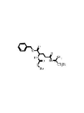 CCOC(=O)[C@H](C)NC(=O)CCC(NC(=O)OC(C)(C)C)C(=O)OCc1ccccc1